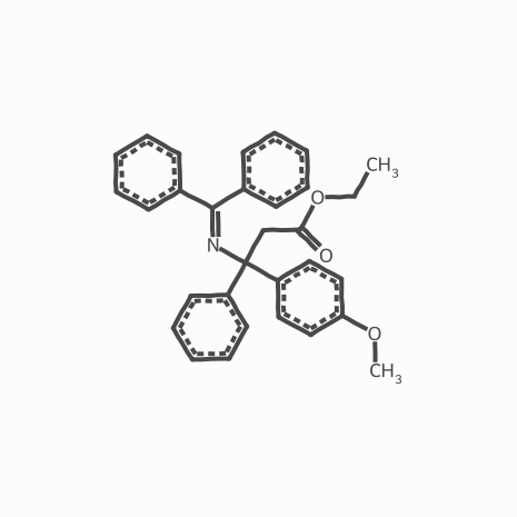 CCOC(=O)CC(N=C(c1ccccc1)c1ccccc1)(c1ccccc1)c1ccc(OC)cc1